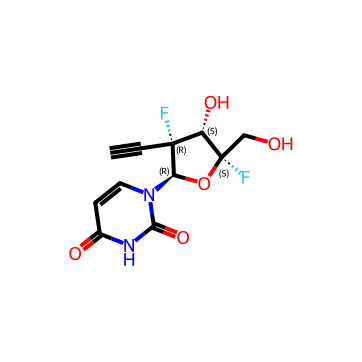 C#C[C@]1(F)[C@H](n2ccc(=O)[nH]c2=O)O[C@](F)(CO)[C@H]1O